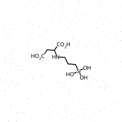 O=C(O)CC(NCCC[Si](O)(O)O)C(=O)O